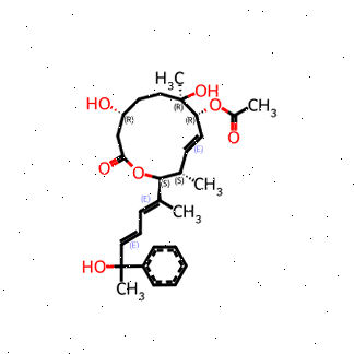 CC(=O)O[C@@H]1/C=C/[C@H](C)[C@@H](/C(C)=C/C=C/C(C)(O)c2ccccc2)OC(=O)C[C@H](O)CC[C@@]1(C)O